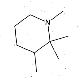 CC1[CH]CCN(C)C1(C)C